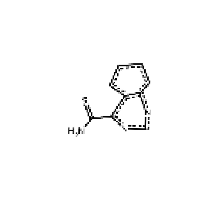 NC(=S)c1ncnc2ccccc12